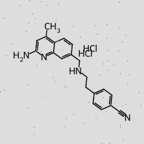 Cc1cc(N)nc2cc(CNCCc3ccc(C#N)cc3)ccc12.Cl.Cl